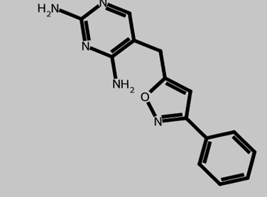 Nc1ncc(Cc2cc(-c3ccccc3)no2)c(N)n1